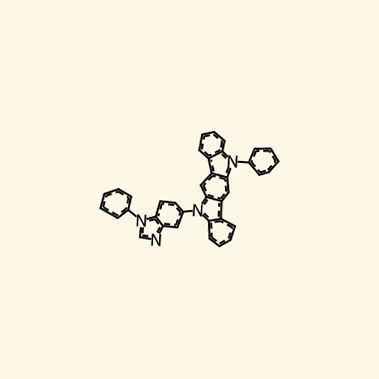 c1ccc(-n2cnc3cc(-n4c5ccccc5c5cc6c(cc54)c4ccccc4n6-c4ccccc4)ccc32)cc1